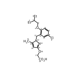 CCC(CC)COc1ccc(Cl)cc1Cn1nc(OCC(=O)O)cc1C